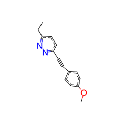 CCc1ccc(C#Cc2ccc(OC)cc2)nn1